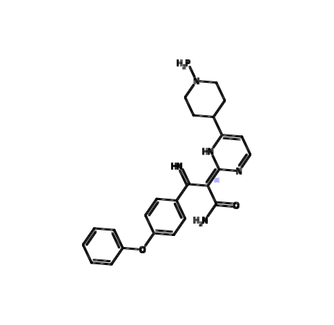 N=C(/C(C(N)=O)=C1/N=CC=C(C2CCN(P)CC2)N1)c1ccc(Oc2ccccc2)cc1